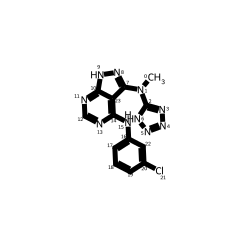 CN(c1nnn[nH]1)c1n[nH]c2ncnc(Nc3cccc(Cl)c3)c12